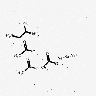 CC(=O)[O-].CC(=O)[O-].CC(=O)[O-].NCC(N)O.[Na+].[Na+].[Na+]